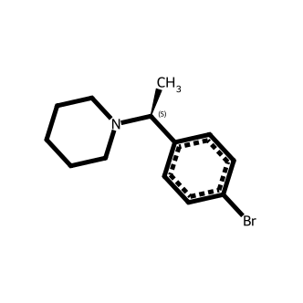 C[C@@H](c1ccc(Br)cc1)N1CCCCC1